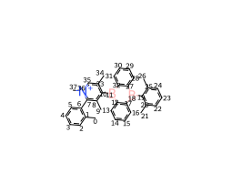 Cc1ccccc1-c1c(C)c(B2c3ccccc3B(c3c(C)cccc3C)c3ccccc32)c(C)c[n+]1C